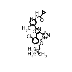 Cc1cnc(NC(=O)C2CC2)cc1-c1nc(-c2nncn2COCC[Si](C)(C)C)c(-c2ccccc2Cl)o1